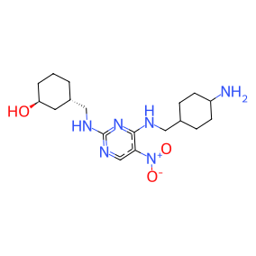 NC1CCC(CNc2nc(NC[C@H]3CCC[C@H](O)C3)ncc2[N+](=O)[O-])CC1